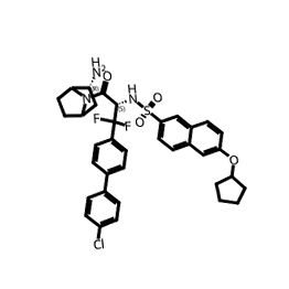 N[C@@H]1CC2CCC1N2C(=O)[C@H](NS(=O)(=O)c1ccc2cc(OC3CCCC3)ccc2c1)C(F)(F)c1ccc(-c2ccc(Cl)cc2)cc1